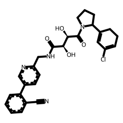 N#Cc1ccccc1-c1ccc(CNC(=O)[C@H](O)[C@@H](O)C(=O)N2CCCC2C2=CC(Cl)=CCC2)nc1